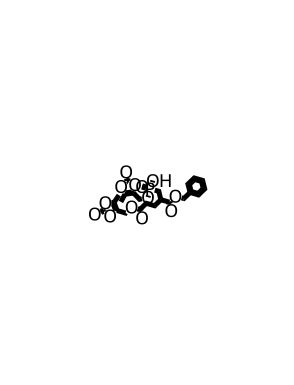 Cc1oc(=O)oc1COC(=O)CCC(CP(=O)(O)OCc1oc(=O)oc1C)C(=O)OCc1ccccc1